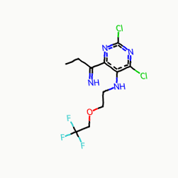 CCC(=N)c1nc(Cl)nc(Cl)c1NCCOCC(F)(F)F